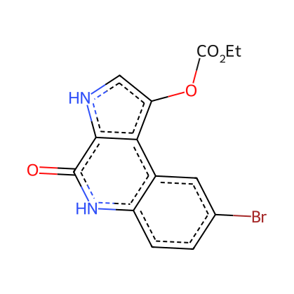 CCOC(=O)Oc1c[nH]c2c(=O)[nH]c3ccc(Br)cc3c12